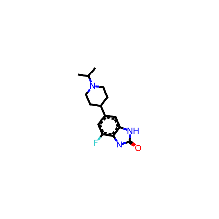 CC(C)N1CCC(c2cc(F)c3c(c2)NC(=O)[N]3)CC1